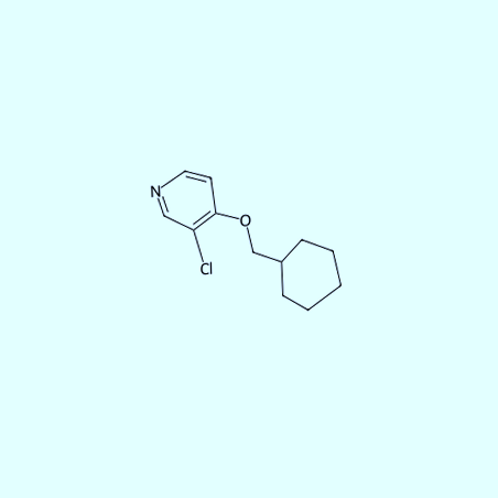 Clc1cnccc1OCC1CCCCC1